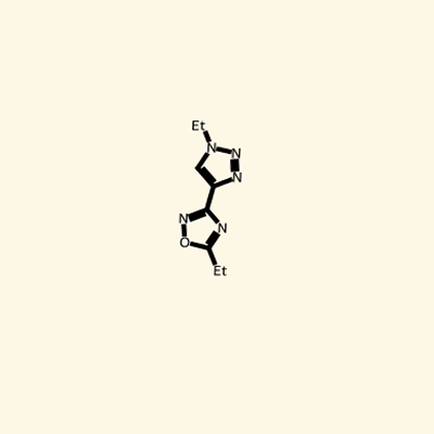 CCc1nc(-c2cn(CC)nn2)no1